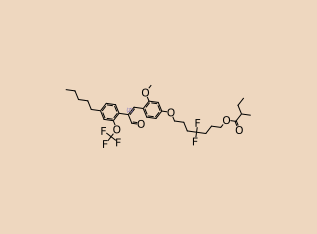 CCCCCc1ccc(/C(C=O)=C/c2ccc(OCCCC(F)(F)CCCOC(=O)C(C)CC)cc2OC)c(OC(F)(F)F)c1